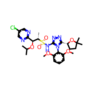 COc1cccc(OC)c1-n1c(NS(=O)(=O)[C@@H](C)[C@@H](OC(C)C)c2ncc(Cl)cn2)nnc1[C@H]1CCC(C)(C)O1